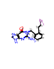 Nc1nc2[nH]cnc2c(=O)n1Cc1ccccc1CCP